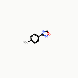 CCCCc1ccc(-c2n[c]on2)cc1